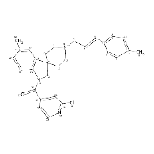 Cc1ccc(/C=C/CN2CCC3(CC2)CN(C(=O)c2ccnc(Cl)c2)c2ccc(C)cc23)cc1